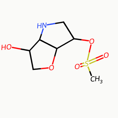 CS(=O)(=O)OC1CNC2C(O)COC12